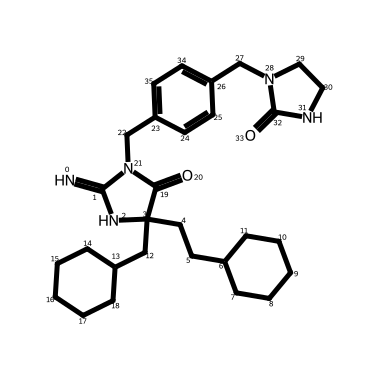 N=C1NC(CCC2CCCCC2)(CC2CCCCC2)C(=O)N1Cc1ccc(CN2CCNC2=O)cc1